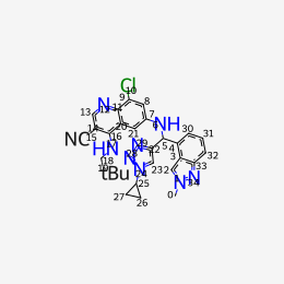 Cn1cc2c(C(Nc3cc(Cl)c4ncc(C#N)c(NCC(C)(C)C)c4c3)c3cn(C4CC4)nn3)cccc2n1